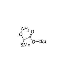 CSC(ON)C(=O)OC(C)(C)C